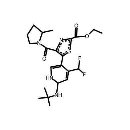 CCOC(=O)c1nc(C(=O)N2CCCC2C)c(C2=CNC(NC(C)(C)C)C=C2C(F)F)s1